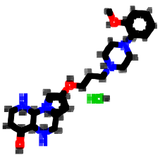 COc1ccccc1N1CCN(CCCOc2cc3n(c2)C2NCCC(=O)C2NC3)CC1.Cl